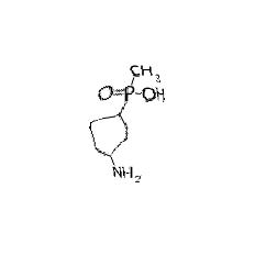 CP(=O)(O)C1CCC(N)C1